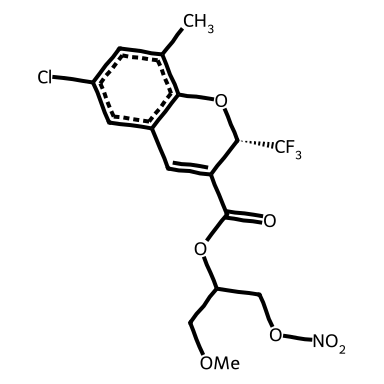 COCC(CO[N+](=O)[O-])OC(=O)C1=Cc2cc(Cl)cc(C)c2O[C@@H]1C(F)(F)F